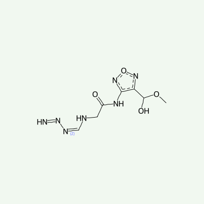 COC(O)c1nonc1NC(=O)CN/C=N\N=N